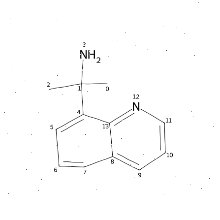 CC(C)(N)c1cccc2cccnc12